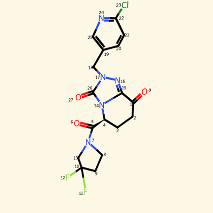 O=C1CC[C@@H](C(=O)N2CCC(F)(F)C2)n2c1nn(Cc1ccc(Cl)nc1)c2=O